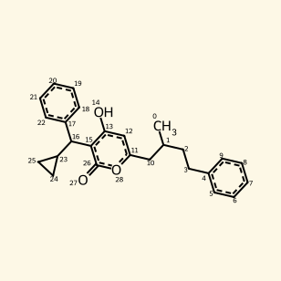 CC(CCc1ccccc1)Cc1cc(O)c(C(c2ccccc2)C2CC2)c(=O)o1